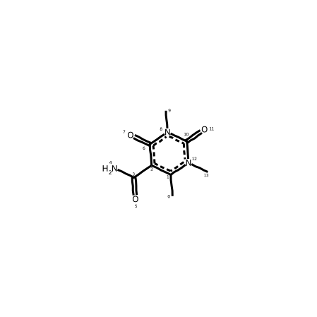 Cc1c(C(N)=O)c(=O)n(C)c(=O)n1C